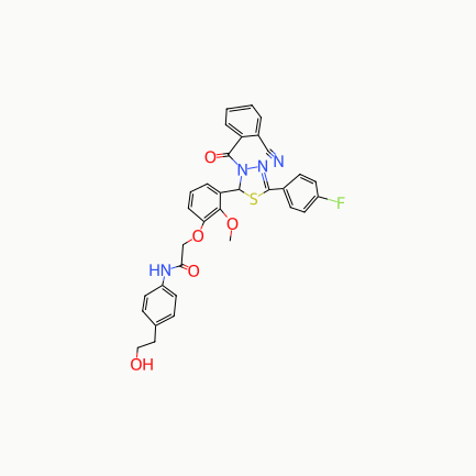 COc1c(OCC(=O)Nc2ccc(CCO)cc2)cccc1C1SC(c2ccc(F)cc2)=NN1C(=O)c1ccccc1C#N